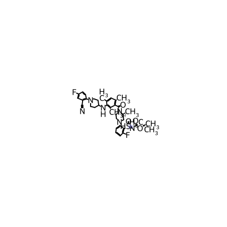 Cc1cc(C)c(C(=O)N2CCN(c3cccc(F)c3/[SH](=O)=N/C(=O)OC(C)(C)C)C[C@@H]2C)c(C)c1NC1CCN(c2ccc(F)cc2C#N)CC1